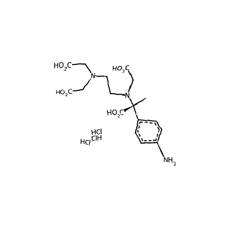 C[C@](C(=O)O)(c1ccc(N)cc1)N(CCN(CC(=O)O)CC(=O)O)CC(=O)O.Cl.Cl.Cl